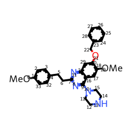 COc1ccc(CCc2nc(N3CCNCC3)c3cc(OC)c(OCc4ccccc4)cc3n2)cc1